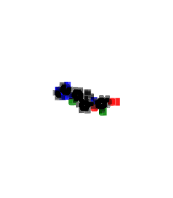 Cc1c(-c2nc3cc(CO)cc(Cl)c3o2)cccc1-c1cccc(Nc2cncc3nccnc23)c1Cl